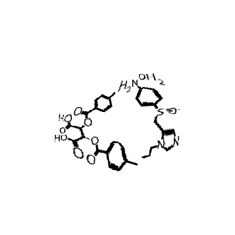 CCCn1cncc1C[S+]([O-])c1ccc(N)cc1.Cc1ccc(C(=O)O[C@H](C(=O)O)[C@H](OC(=O)c2ccc(C)cc2)C(=O)O)cc1.O